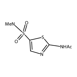 CNS(=O)(=O)c1cnc(NC(C)=O)s1